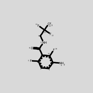 Nc1ccc(F)c(C(=O)NCC(F)(F)C(F)(F)F)c1F